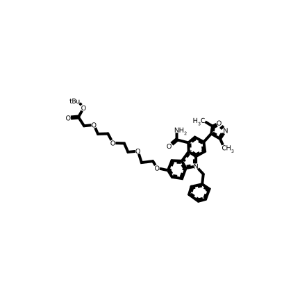 Cc1noc(C)c1-c1cc(C(N)=O)c2c3cc(OCCOCCOCCOCC(=O)OC(C)(C)C)ccc3n(Cc3ccccc3)c2c1